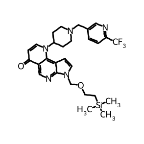 C[Si](C)(C)CCOCn1ccc2c1ncc1c(=O)ccn(C3CCN(Cc4ccc(C(F)(F)F)nc4)CC3)c12